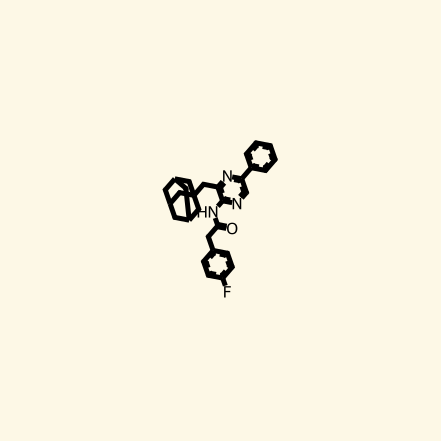 O=C(Cc1ccc(F)cc1)Nc1ncc(-c2ccccc2)nc1CC12CC3CC(CC(C3)C1)C2